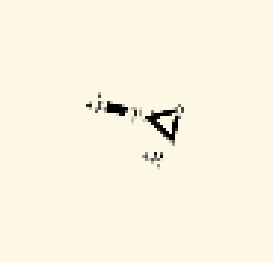 C1CO1.C=C.O